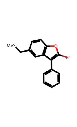 CSCc1ccc2oc(Br)c(-c3ccccc3)c2c1